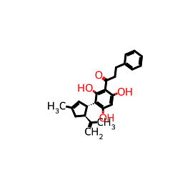 C=C(C)[C@H]1CC(C)=C[C@@H]1c1c(O)cc(O)c(C(=O)CCc2ccccc2)c1O